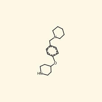 c1cc(OC2CCNCC2)ccc1CN1CCCCC1